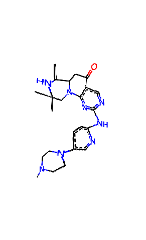 C=C1NC(C)(C)CN2c3nc(Nc4ccc(N5CCN(C)CC5)cn4)ncc3C(=O)CC12